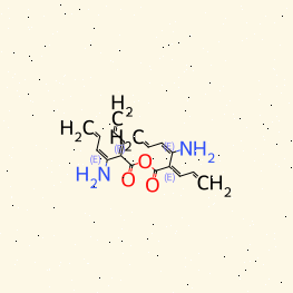 C=C/C=C(N)\C(=C/C=C)C(=O)OC(=O)C(=C/C=C)/C(N)=C\C=C